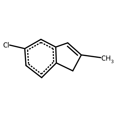 CC1=Cc2cc(Cl)ccc2C1